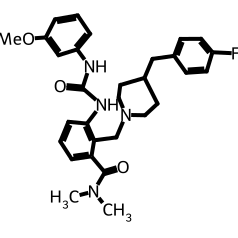 COc1cccc(NC(=O)Nc2cccc(C(=O)N(C)C)c2CN2CCC(Cc3ccc(F)cc3)CC2)c1